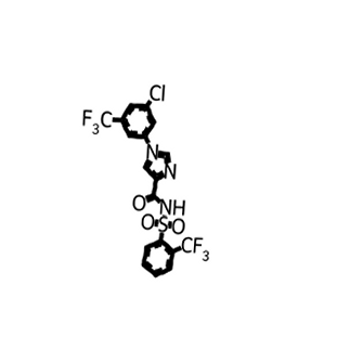 O=C(NS(=O)(=O)c1ccccc1C(F)(F)F)c1cn(-c2cc(Cl)cc(C(F)(F)F)c2)cn1